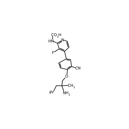 CC(C)CC(C)(N)COc1ccc(-c2ccnc(NC(=O)O)c2F)cc1C#N